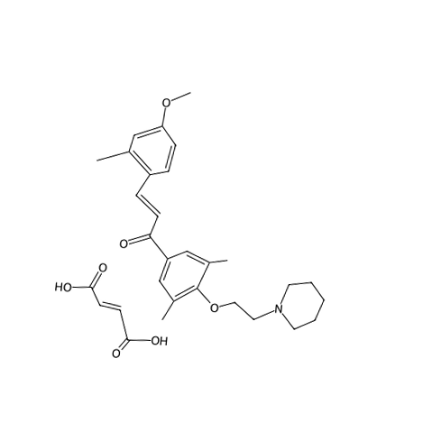 COc1ccc(C=CC(=O)c2cc(C)c(OCCN3CCCCC3)c(C)c2)c(C)c1.O=C(O)C=CC(=O)O